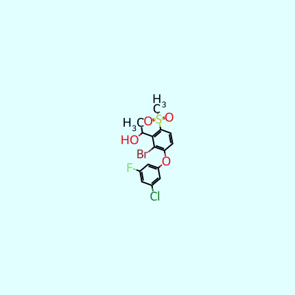 CC(O)c1c(S(C)(=O)=O)ccc(Oc2cc(F)cc(Cl)c2)c1Br